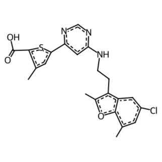 Cc1cc(-c2cc(NCCc3c(C)oc4c(C)cc(Cl)cc34)ncn2)sc1C(=O)O